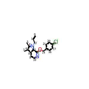 C=CCn1c(C)c(C)c2ccnc(OCc3ccc(Cl)cc3)c21